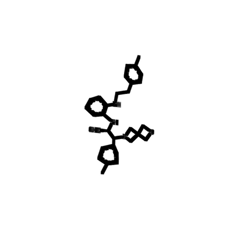 Cc1ccc(CCNc2ccccc2N[C@H](C=O)C(c2ccc(C)cc2)N2CC3(COC3)C2)cc1